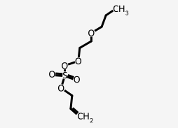 C=CCOS(=O)(=O)OOCCOCCC